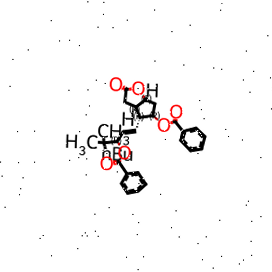 CCCCC(C)(C)[C@@H](C=C[C@@H]1[C@H]2CC(=O)O[C@H]2C[C@H]1OC(=O)c1ccccc1)OC(=O)c1ccccc1